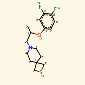 CC(CN1CCC2(CC1)CSC2)Oc1ccc(F)c(F)c1